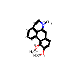 COc1ccc2cc3c4c(cccc4c2c1OC)C=CN3C